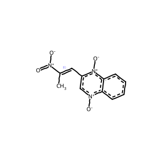 C/C(=C\c1c[n+]([O-])c2ccccc2[n+]1[O-])[N+](=O)[O-]